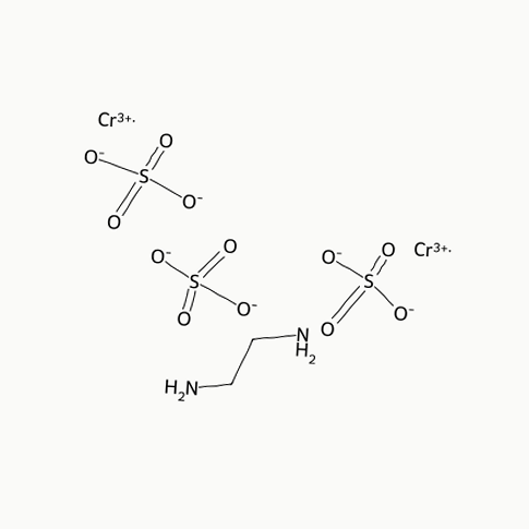 NCCN.O=S(=O)([O-])[O-].O=S(=O)([O-])[O-].O=S(=O)([O-])[O-].[Cr+3].[Cr+3]